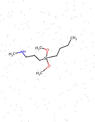 CCCC[Si](CCCNC)(OC)OC